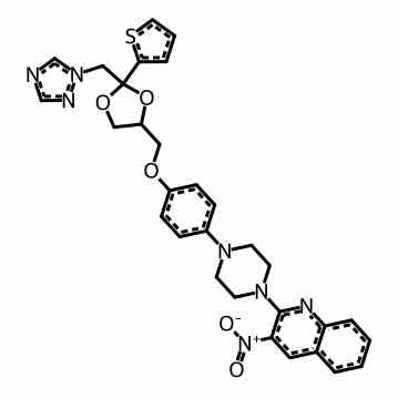 O=[N+]([O-])c1cc2ccccc2nc1N1CCN(c2ccc(OCC3COC(Cn4cncn4)(c4cccs4)O3)cc2)CC1